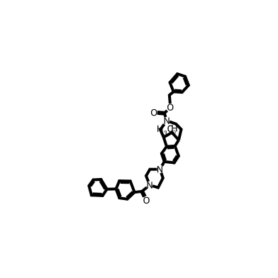 C[C@H]1C2CCN(C(=O)OCc3ccccc3)CC1c1cc(N3CCN(C(=O)c4ccc(-c5ccccc5)cc4)CC3)ccc12